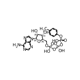 Cc1ccc(OP(=O)(O)OP(=O)(O)OP(=O)(O)OC[C@H]2O[C@@H](n3cnc4c(N)ncnc43)[C@H](O)[C@@H]2O)cc1